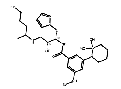 CCNc1cc(C(=O)N[C@@H](Cn2cccn2)[C@H](O)CNC(C)CCCC(C)C)cc(N2CCCCS2(O)O)c1